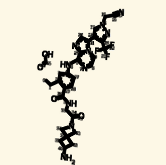 CCc1cc(Nc2nccn3c(-c4cn(CC#N)nc4C(F)(F)F)cnc23)ccc1C(=O)NCC(=O)N1CC2(CC(N)C2)C1.O=CO